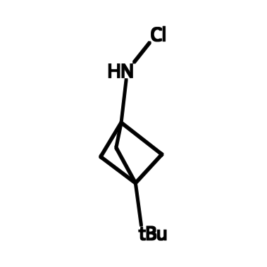 CC(C)(C)C12CC(NCl)(C1)C2